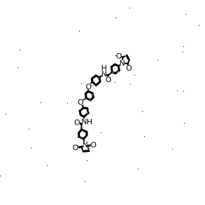 O=C(Nc1ccc(Oc2cccc(Oc3ccc(NC(=O)c4ccc(N5C(=O)C=CC5=O)cc4)cc3)c2)cc1)c1ccc(N2C(=O)C=CC2=O)cc1